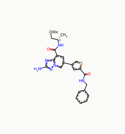 COC[C@H](C)NC(=O)c1cc(-c2csc(C(=O)NCc3ccccc3)c2)cn2nc(N)nc12